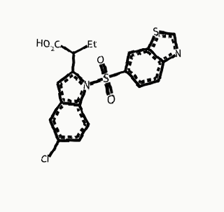 CCC(C(=O)O)c1cc2cc(Cl)ccc2n1S(=O)(=O)c1ccc2ncsc2c1